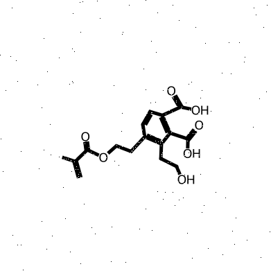 C=C(C)C(=O)OCCc1ccc(C(=O)O)c(C(=O)O)c1CCO